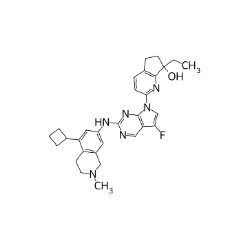 CCC1(O)CCc2ccc(-n3cc(F)c4cnc(Nc5cc6c(c(C7CCC7)c5)CCN(C)C6)nc43)nc21